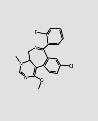 COC1=C2c3ccc(Cl)cc3C(c3ccccc3F)=NCC2N(C)C=N1